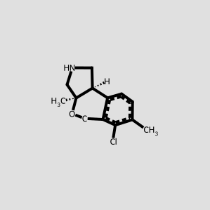 Cc1ccc2c(c1Cl)CO[C@@]1(C)CNC[C@@H]21